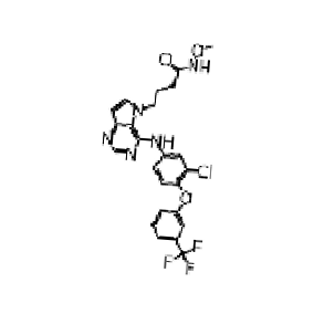 CONC(=O)CCCn1ccc2ncnc(Nc3ccc(Oc4cccc(C(F)(F)F)c4)c(Cl)c3)c21